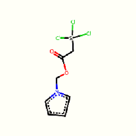 O=C(C[Si](Cl)(Cl)Cl)OCn1cccc1